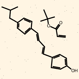 C=CC(=O)OC(C)(C)C.CC(C)Cc1ccc(C=CC=Cc2ccc(O)cc2)cc1